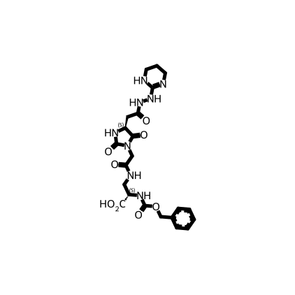 O=C(CN1C(=O)N[C@@H](CC(=O)NNC2=NCCCN2)C1=O)NC[C@H](NC(=O)OCc1ccccc1)C(=O)O